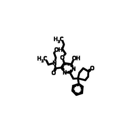 CCCCOc1c(O)nc(CC2(c3ccccc3)CCC(=O)CC2)nc1C(=O)N(CC)CCO